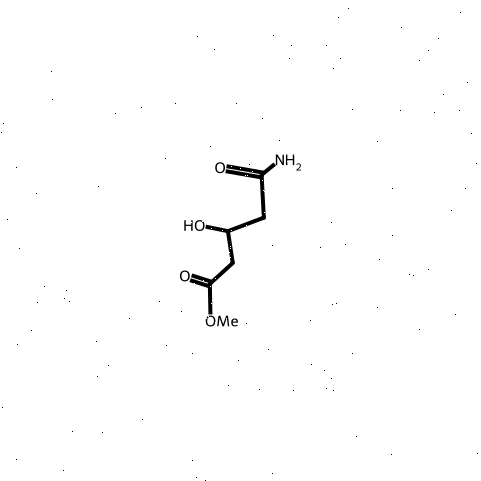 COC(=O)CC(O)CC(N)=O